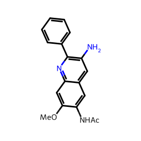 COc1cc2nc(-c3ccccc3)c(N)cc2cc1NC(C)=O